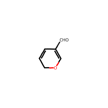 O=CC1=COCC=C1